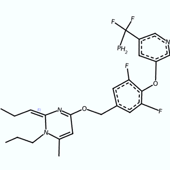 CC/C=C1/N=C(OCc2cc(F)c(Oc3cncc(C(F)(F)P)c3)c(F)c2)C=C(C)N1CCC